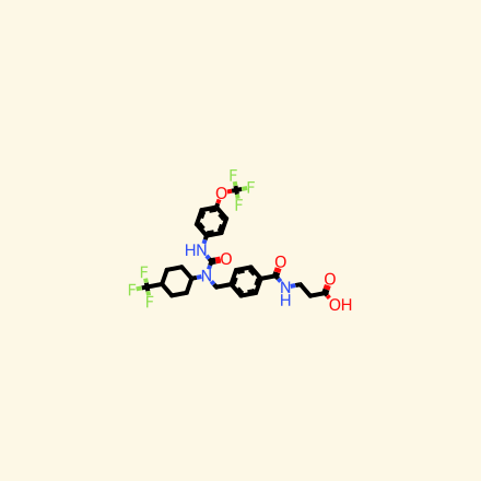 O=C(O)CCNC(=O)c1ccc(CN(C(=O)Nc2ccc(OC(F)(F)F)cc2)C2CCC(C(F)(F)F)CC2)cc1